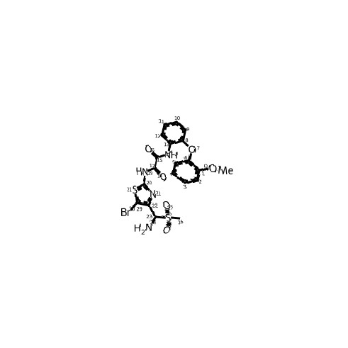 COc1ccccc1Oc1ccccc1NC(=O)C(=O)Nc1nc(C(N)S(C)(=O)=O)c(Br)s1